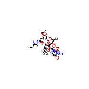 CCCCNC(=O)CCC1(CCC(=O)OC2[C@@H](CC)O[C@@H](n3ccc(=O)[nH]c3=O)[C@H]2O[Si](C(C)C)(C(C)C)C(C)C)OCCO1